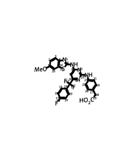 COc1ccc2nc(Nc3cc(C(F)(F)c4ccc(F)cc4)nc(Nc4ccc(CC(=O)O)cc4)n3)sc2c1